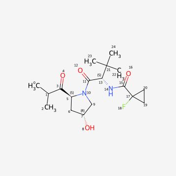 CC(C)C(=O)[C@@H]1C[C@@H](O)CN1C(=O)[C@@H](NC(=O)C1(F)CC1)C(C)(C)C